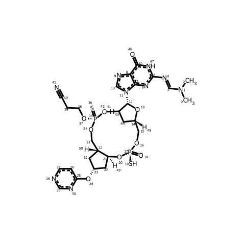 CN(C)C=Nc1nc2c(ncn2[C@@H]2O[C@@H]3CO[P@@](=O)(S)O[C@H]4C[C@H](Oc5ccncn5)C[C@@H]4CO[P@](=S)(OCCC#N)O[C@@H]2C3)c(=O)[nH]1